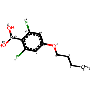 CCCCOc1cc(F)c(B(O)O)c(F)c1